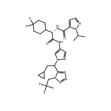 CC(C)n1nccc1C(=O)N[C@H](C(=O)Nc1cnn(C(CC2CC2)c2nnnn2CC(F)(F)F)c1)C1CCC(F)(F)CC1